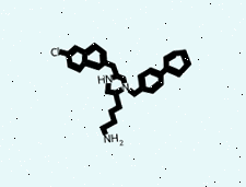 NCCCCC1CNC(Cc2ccc3cc(Cl)ccc3c2)CN1Cc1ccc(-c2ccccc2)cc1